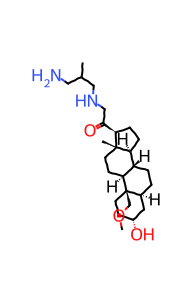 COC[C@]12CC[C@@H](O)C[C@@H]1CC[C@H]1[C@@H]3CC[C@H](C(=O)CNCC(C)CN)[C@@]3(C)CC[C@@H]12